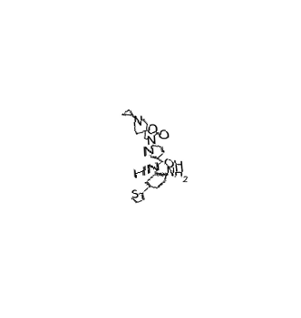 Nc1ccc(-c2cccs2)cc1NC(O)c1ccc(N2CC3(CCN(C4CC4)CC3)OC2=O)nc1